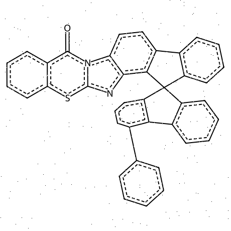 O=c1c2ccccc2sc2nc3c4c(ccc3n12)-c1ccccc1C41c2ccccc2-c2c(-c3ccccc3)cccc21